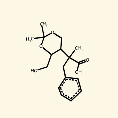 CC1(C)OCC(C(C)(Cc2ccccc2)C(=O)O)C(CO)O1